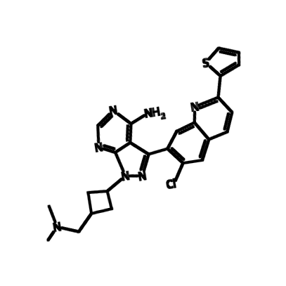 CN(C)CC1CC(n2nc(-c3cc4nc(-c5cccs5)ccc4cc3Cl)c3c(N)ncnc32)C1